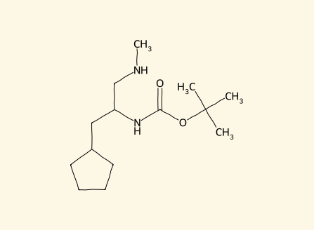 CNCC(CC1CCCC1)NC(=O)OC(C)(C)C